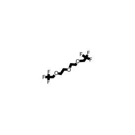 FC(F)(F)COCCOCCOCC(F)(F)F